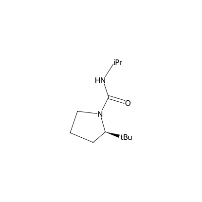 CC(C)NC(=O)N1CCC[C@@H]1C(C)(C)C